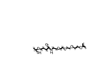 CC(C)OCCOCCOCCOCCNC(=O)CCCOC(C)S